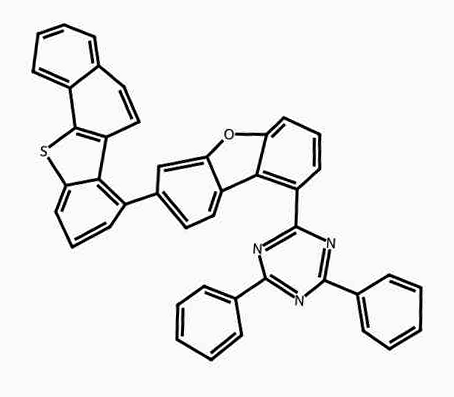 c1ccc(-c2nc(-c3ccccc3)nc(-c3cccc4oc5cc(-c6cccc7sc8c9ccccc9ccc8c67)ccc5c34)n2)cc1